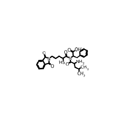 CC(C)CC(N)C(=O)N(C(=O)C(S)CCCN1C(=O)c2ccccc2C1=O)C(Cc1ccccc1)C(=O)O